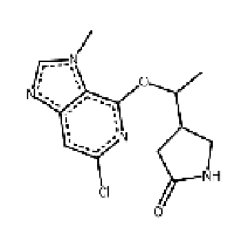 CC(Oc1nc(Cl)cc2ncn(C)c12)C1CNC(=O)C1